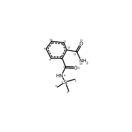 C[Si](C)(C)NC(=O)c1ccccc1C(N)=O